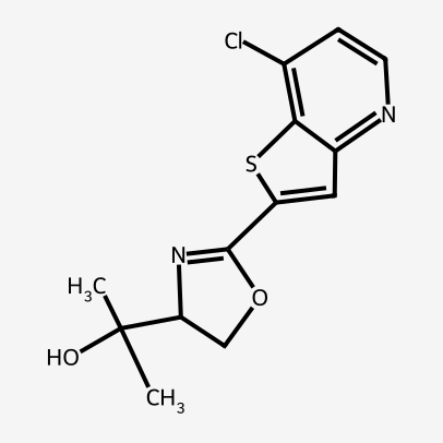 CC(C)(O)C1COC(c2cc3nccc(Cl)c3s2)=N1